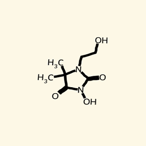 CC1(C)C(=O)N(O)C(=O)N1CCO